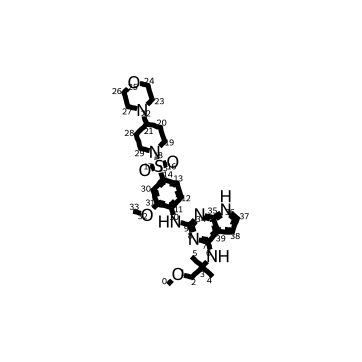 COCC(C)(C)Nc1nc(Nc2ccc(S(=O)(=O)N3CCC(N4CCOCC4)CC3)cc2OC)nc2[nH]ccc12